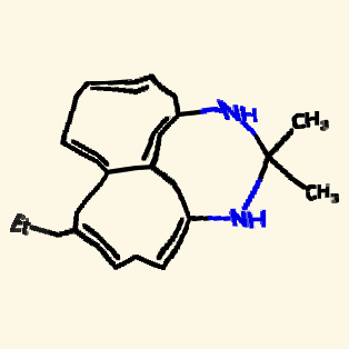 CCc1ccc2c3c(cccc13)NC(C)(C)N2